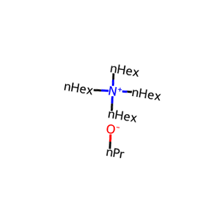 CCCCCC[N+](CCCCCC)(CCCCCC)CCCCCC.CCC[O-]